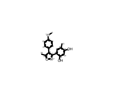 COc1ccc(-c2c(-c3cc(C)c(O)cc3O)noc2C)cc1